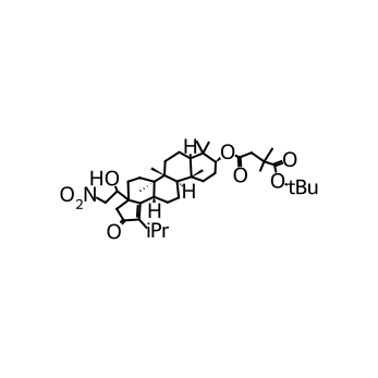 CC(C)C1=C2[C@H]3CC[C@@H]4[C@@]5(C)CC[C@H](OC(=O)CC(C)(C)C(=O)OC(C)(C)C)C(C)(C)[C@H]5CC[C@@]4(C)[C@]3(C)CCC2(C(O)C[N+](=O)[O-])CC1=O